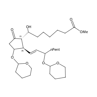 CCCCCC(C=C[C@H]1C(OC2CCCCO2)CC(=O)[C@@H]1C(O)CCCCCC(=O)OC)OC1CCCCO1